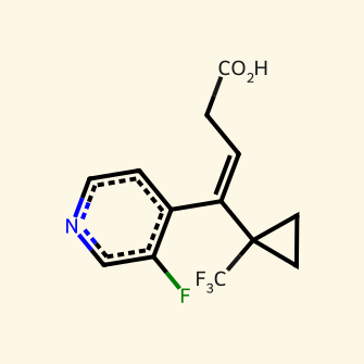 O=C(O)C/C=C(\c1ccncc1F)C1(C(F)(F)F)CC1